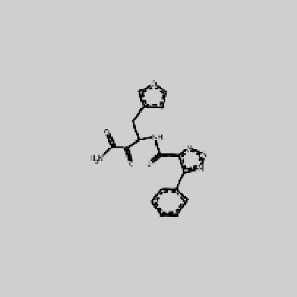 NC(=O)C(=O)C(Cc1ccoc1)NC(=O)c1nsnc1-c1ccccc1